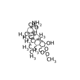 CCOC(=O)Oc1c(O)cc2c(c1C)C(SC(C)C)C=C1[C@@]2(C)CC[C@@]2(CC)[C@@H]3C[C@](C)(C(N)=O)CC[C@]3(C)CC[C@]12C